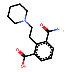 NC(=O)c1cccc(C(=O)O)c1CCN1CCCCC1